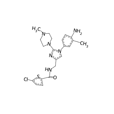 Cc1cc(-n2cc(CNC(=O)c3ccc(Cl)s3)nc2N2CCN(C)CC2)ccc1N